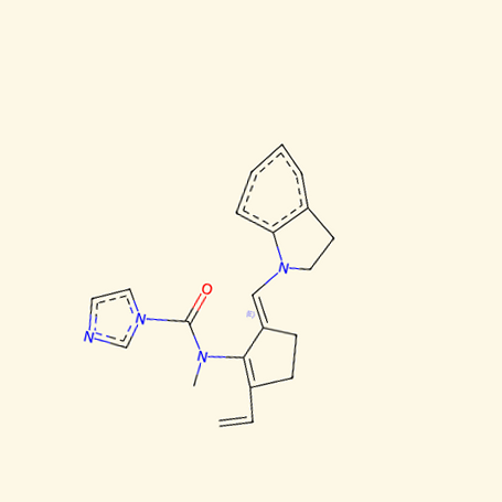 C=CC1=C(N(C)C(=O)n2ccnc2)/C(=C/N2CCc3ccccc32)CC1